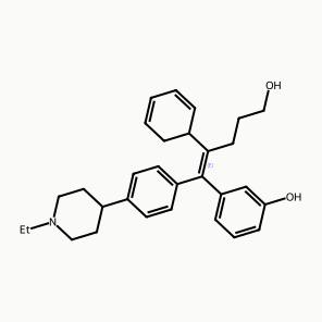 CCN1CCC(c2ccc(/C(=C(/CCCO)C3C=CC=CC3)c3cccc(O)c3)cc2)CC1